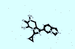 CC1C(=O)N(C)Cc2c(-c3ccc4cncn4c3)nc(C3CC3)n21